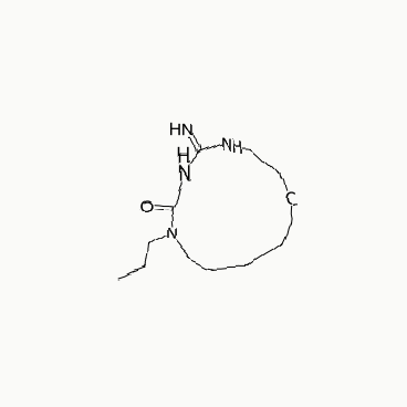 CCCN1CCCCCCCCNC(=N)NC1=O